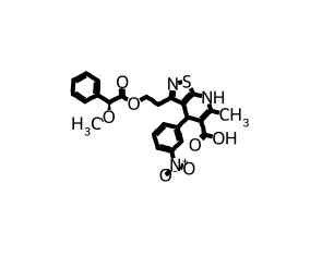 CO[C@H](C(=O)OCCc1nsc2c1C(c1cccc([N+](=O)[O-])c1)C(C(=O)O)=C(C)N2)c1ccccc1